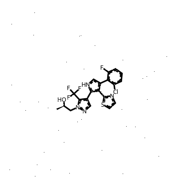 C[C@@H](O)Cn1ncc(-c2[nH]cc(-c3c(F)cccc3Cl)c2-c2nccs2)c1C(F)(F)F